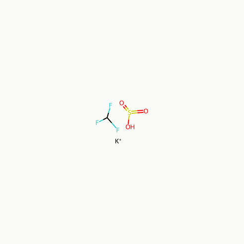 FC(F)F.O=[S-](=O)O.[K+]